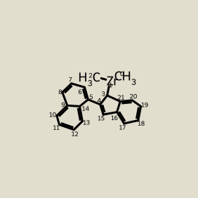 [CH3][Zr]([CH3])[CH]1C(c2cccc3ccccc23)=Cc2ccccc21